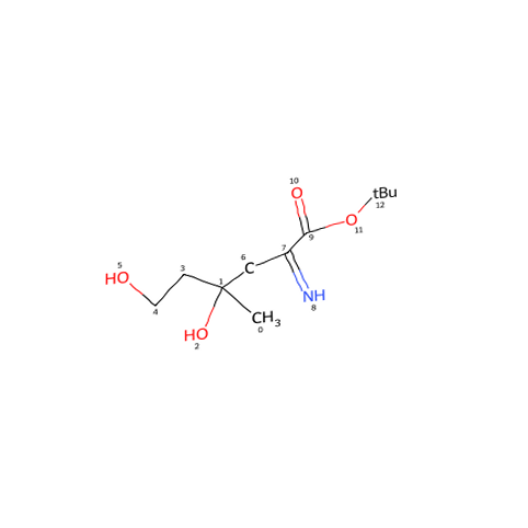 CC(O)(CCO)CC(=N)C(=O)OC(C)(C)C